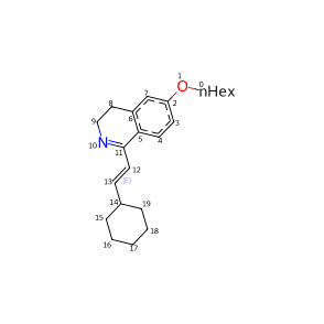 CCCCCCOc1ccc2c(c1)CCN=C2/C=C/C1CCCCC1